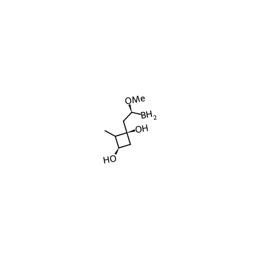 B[C@@H](C[C@]1(O)C[C@@H](O)C1C)OC